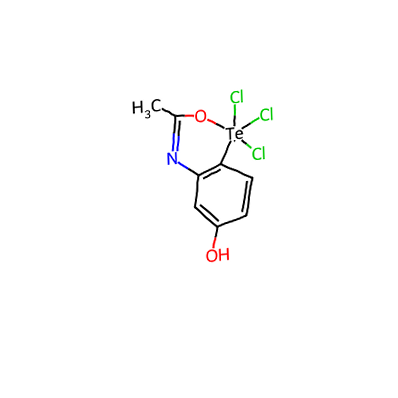 CC1=Nc2cc(O)ccc2[Te](Cl)(Cl)(Cl)O1